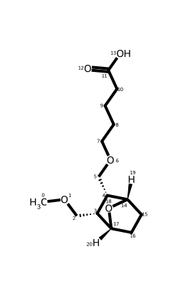 COC[C@@H]1[C@H](COCCCCC(=O)O)[C@@H]2CC[C@H]1O2